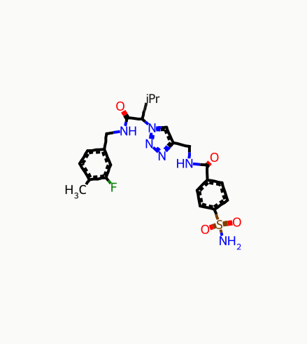 Cc1ccc(CNC(=O)C(C(C)C)n2cc(CNC(=O)c3ccc(S(N)(=O)=O)cc3)nn2)cc1F